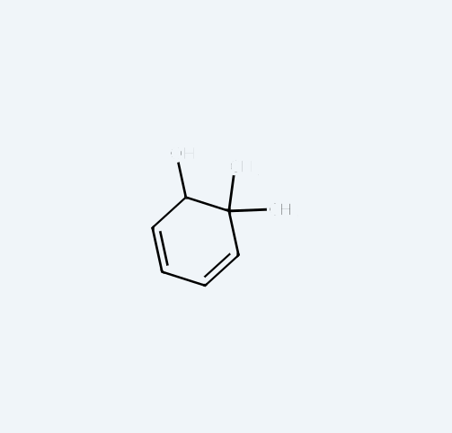 CC1(C)C=CC=CC1O